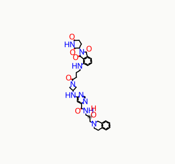 O=C1CCC(N2C(=O)c3cccc(NCCCC(=O)N4CC(Nc5cc(C(=O)NC[C@H](O)CN6CCc7ccccc7C6)ncn5)C4)c3C2=O)C(=O)N1